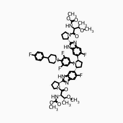 COC(=O)NC(C(=O)N1CCC[C@H]1c1nc2cc(F)c([C@H]3CC[C@H](c4cc5[nH]c([C@@H]6CCCN6C(=O)[C@@H](NC(=O)OC)[C@@H](C)OC)nc5cc4F)N3c3cc(F)c(N4CCC(c5ccc(F)cc5)CC4)c(F)c3)cc2[nH]1)[C@@H](C)OC